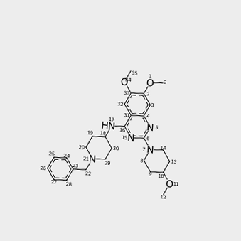 COc1cc2nc(N3CCC(OC)CC3)nc(NC3CCN(Cc4ccccc4)CC3)c2cc1OC